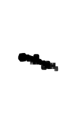 COC(=O)CCCNC(=O)C=COCc1ccccc1